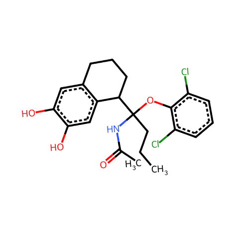 CCCC(NC(C)=O)(Oc1c(Cl)cccc1Cl)C1CCCc2cc(O)c(O)cc21